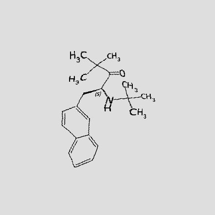 CC(C)(C)N[C@@H](Cc1ccc2ccccc2c1)C(=O)C(C)(C)C